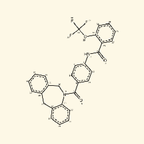 O=C(Nc1ccc(C(=O)N2Cc3ccccc3Cc3ccccc32)cc1)c1ccccc1OC(F)(F)F